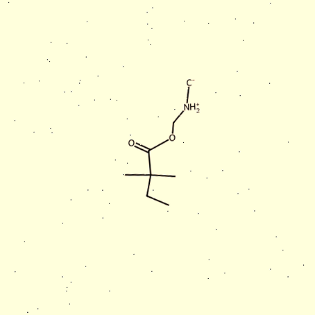 [CH2-][NH2+]COC(=O)C(C)(C)CC